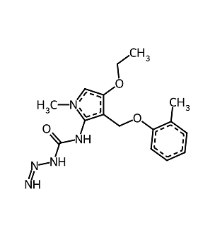 CCOc1cn(C)c(NC(=O)NN=N)c1COc1ccccc1C